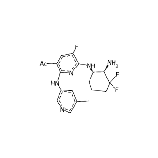 CC(=O)c1cc(F)c(N[C@@H]2CCCC(F)(F)[C@@H]2N)nc1Nc1cncc(C)c1